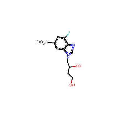 CCOC(=O)c1cc(F)c2ncn(CC(O)CCO)c2c1